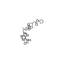 CC(=O)Nc1ncnc2c1ncn2C[C@@H](C)OCP1(=O)OCC(CC(=O)OC2CCCC2)CO1